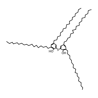 CCCCCCCCCCCCCCCCCCc1cc(CCCCCCCCCCCCCCCCCC)c(O)c(Sc2cc(CCCCCCCCCCCCCCCCCC)cc(CCCCCCCCCCCCCCCCCC)c2O)c1